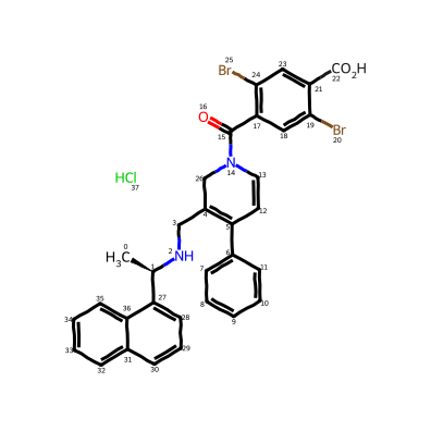 C[C@@H](NCC1=C(c2ccccc2)C=CN(C(=O)c2cc(Br)c(C(=O)O)cc2Br)C1)c1cccc2ccccc12.Cl